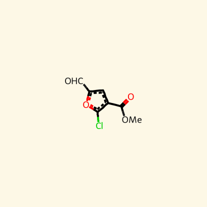 COC(=O)c1cc(C=O)oc1Cl